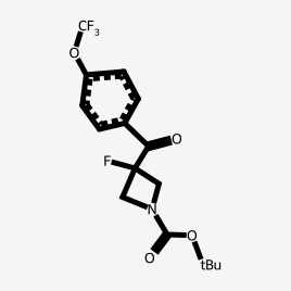 CC(C)(C)OC(=O)N1CC(F)(C(=O)c2ccc(OC(F)(F)F)cc2)C1